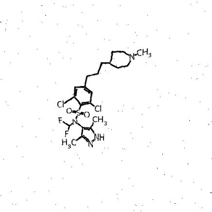 Cc1n[nH]c(C)c1N(C(F)F)S(=O)(=O)c1c(Cl)cc(CCCC2CCN(C)CC2)cc1Cl